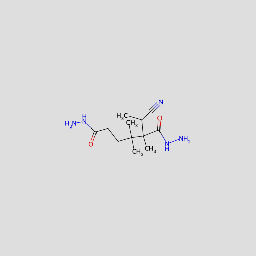 CC(C#N)C(C)(C(=O)NN)C(C)(C)CCC(=O)NN